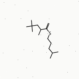 C=C(SCCCC(C)C)C(C)CC(C)(C)C